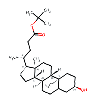 C[C@H](CCC(=O)OC(C)(C)C)[C@H]1CC[C@H]2[C@@H]3CCC4C[C@H](O)CC[C@]4(C)[C@H]3CC[C@]12C